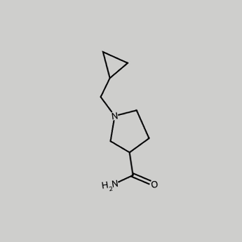 NC(=O)C1CCN(CC2CC2)C1